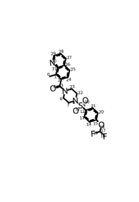 Cc1c(C(=O)N2CCN(S(=O)(=O)c3ccc(OC(F)F)cc3)CC2)ccc2cccnc12